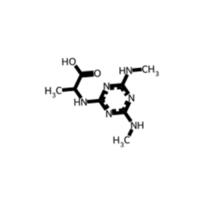 CNc1nc(NC)nc(NC(C)C(=O)O)n1